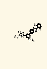 Cc1cc(-c2nn(C)c(=O)o2)cc(-c2ccc(NC(=O)c3c(F)cccc3F)cc2)n1